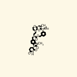 CN(C[C@@H]1CN(CCN(Cc2ccc3c(c2)n(C)c(=O)n3C2CCC(=O)NC2=O)C(=O)OCc2ccccc2)CCO1)C(=O)OC(C)(C)C